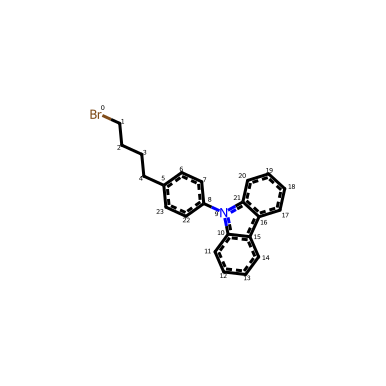 BrCCCCc1ccc(-n2c3ccccc3c3ccccc32)cc1